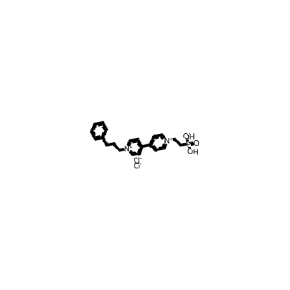 O=P(O)(O)CC[n+]1ccc(-c2cc[n+](CCCc3ccccc3)cc2)cc1.[Cl-].[Cl-]